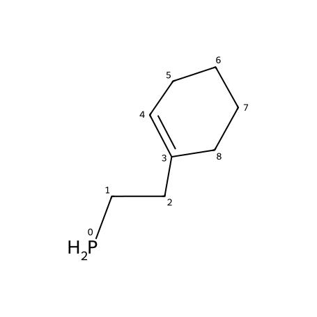 PCCC1=CCCCC1